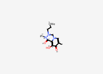 COCCN1Cn2cc(C)c(=O)c(O)c2C(=O)N1C(C)C